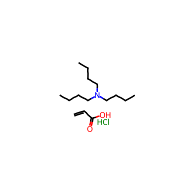 C=CC(=O)O.CCCCN(CCCC)CCCC.Cl